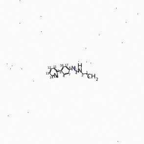 C=CCN/C=N/c1ccc(-c2ccccn2)cc1